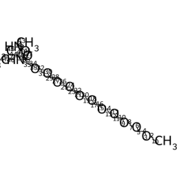 CCCOCCOCCOCCOCCOCCOCCOCCOCCOCCOCCOCCC(=O)N[C@H](C(=O)NC)[C@@H](C)CC